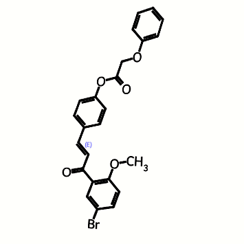 COc1ccc(Br)cc1C(=O)/C=C/c1ccc(OC(=O)COc2ccccc2)cc1